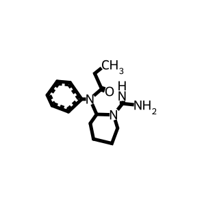 CCC(=O)N(c1ccccc1)C1CCCCN1C(=N)N